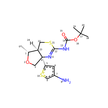 C[C@H]1OC[C@]2(c3cc(N)cs3)N=C(NC(=O)OC(C)(C)C)SC[C@H]12